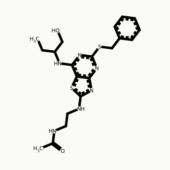 CCC(CO)Nc1nc(SCc2ccccc2)nc2nc(NCCNC(C)=O)sc12